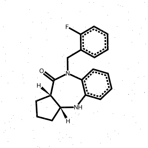 O=C1[C@H]2CCC[C@H]2Nc2ccccc2N1Cc1ccccc1F